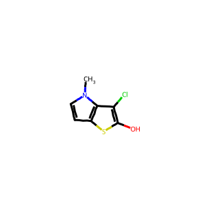 Cn1ccc2sc(O)c(Cl)c21